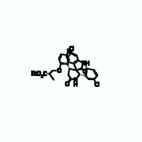 CCOC(=O)C(C)COc1ccc(Br)cc1[C@H]1CC(=O)N[C@@H](c2cc(Cl)ccc2C)[C@]12C(=O)Nc1cc(Cl)ccc12